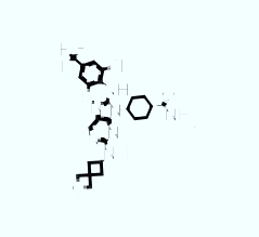 NC(=O)[C@H]1CC[C@H](n2c(Nc3c(Cl)cc(C(F)(F)F)cc3Cl)nc3cnc(NC4CC5(COC5)C4)nc32)CC1